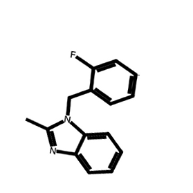 Cc1nc2ccccc2n1Cc1cc[c]cc1F